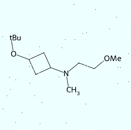 COCCN(C)C1CC(OC(C)(C)C)C1